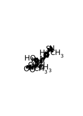 COC([C@H](C)NC(=O)C1(C)COC1)N1C[C@H](O)C[C@H]1C(=O)NCc1ccc(-c2scnc2C)cc1